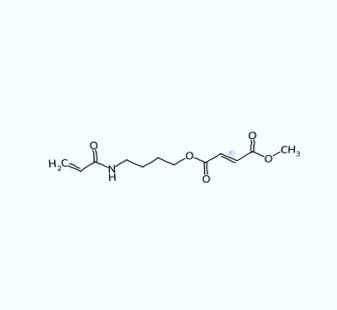 C=CC(=O)NCCCCOC(=O)/C=C/C(=O)OC